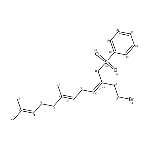 CC(C)=CCC/C(C)=C/C/C=C(/CCBr)CS(=O)(=O)c1ccccc1